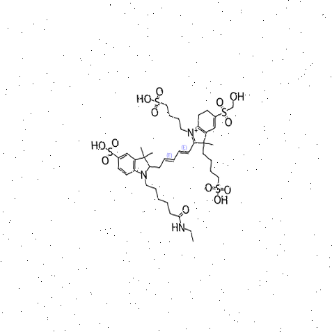 CCNC(=O)CCCCCN1c2ccc(S(=O)(=O)O)cc2C(C)(C)C1C/C=C/C=C/C1=[N+](CCCCS(=O)(=O)O)C2=C(C=C(S(=O)(=O)CO)CC2)C1(C)CCCCS(=O)(=O)O